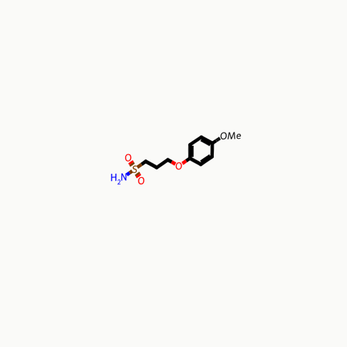 COc1ccc(OCCCS(N)(=O)=O)cc1